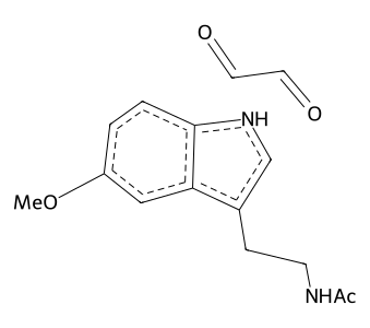 COc1ccc2[nH]cc(CCNC(C)=O)c2c1.O=CC=O